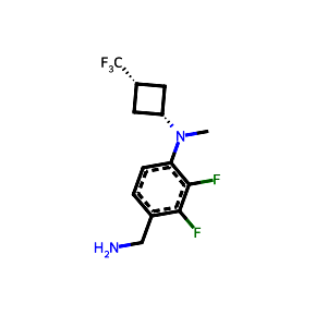 CN(c1ccc(CN)c(F)c1F)[C@H]1C[C@@H](C(F)(F)F)C1